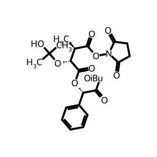 CC(C)COC(=O)[C@@H](OC(=O)[C@H](OC(C)(C)O)[C@@H](C)C(=O)ON1C(=O)CCC1=O)c1ccccc1